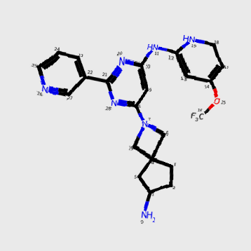 NC1CCC2(C1)CN(c1cc(NC3=CC(OC(F)(F)F)=CCN3)nc(-c3cccnc3)n1)C2